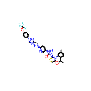 Cc1ccc(C(C)C)c(N2C(=O)CSC2=NC(=O)Nc2ccc(NCc3ncn(-c4ccc(OC(F)(F)F)cc4)n3)nc2)c1